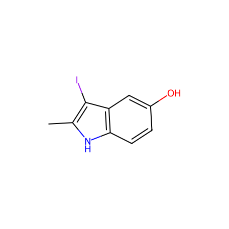 Cc1[nH]c2ccc(O)cc2c1I